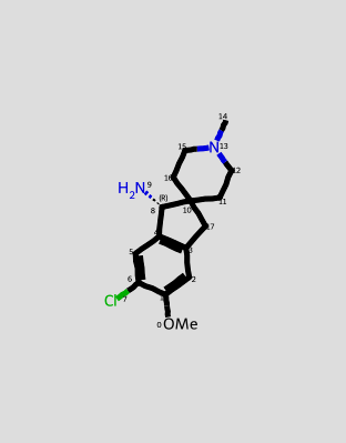 COc1cc2c(cc1Cl)[C@H](N)C1(CCN(C)CC1)C2